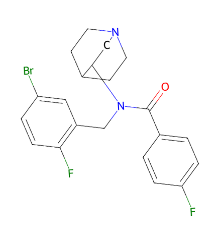 O=C(c1ccc(F)cc1)N(Cc1cc(Br)ccc1F)C1CN2CCC1CC2